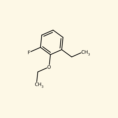 CCOc1c(F)cccc1CC